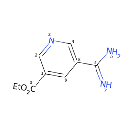 CCOC(=O)c1cncc(C(=N)N)c1